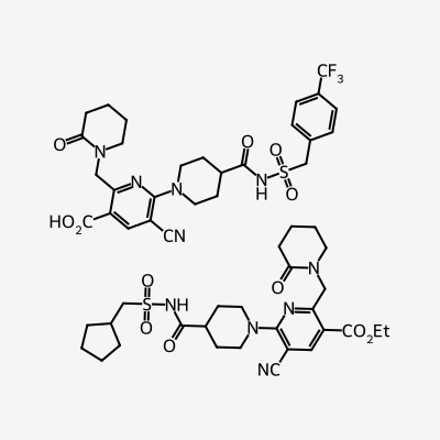 CCOC(=O)c1cc(C#N)c(N2CCC(C(=O)NS(=O)(=O)CC3CCCC3)CC2)nc1CN1CCCCC1=O.N#Cc1cc(C(=O)O)c(CN2CCCCC2=O)nc1N1CCC(C(=O)NS(=O)(=O)Cc2ccc(C(F)(F)F)cc2)CC1